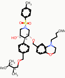 COCCCN1CCOc2ccc(CO[C@H]3CN(S(=O)(=O)c4ccc(C)cc4)C[C@@H](O)[C@@H]3c3ccc(COC[C@@H](C)[C@H](C)OC)cc3)cc21